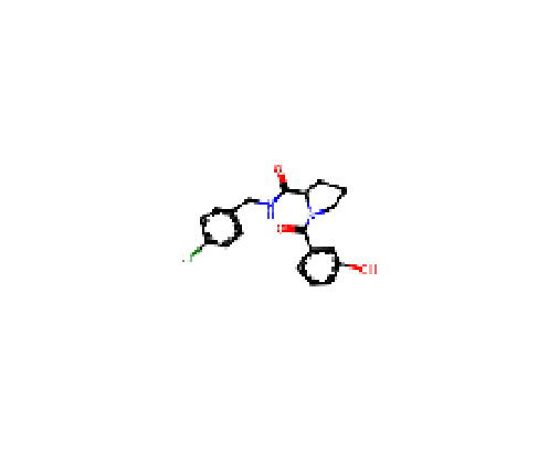 O=C(NCc1ccc(Cl)cc1)C1CCCN1C(=O)c1cccc(O)c1